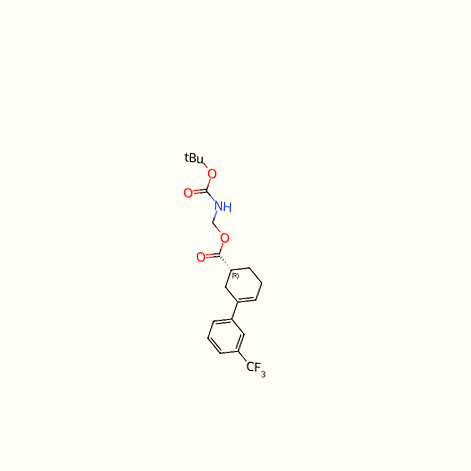 CC(C)(C)OC(=O)NCOC(=O)[C@@H]1CCC=C(c2cccc(C(F)(F)F)c2)C1